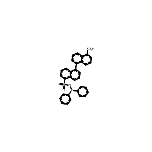 O=S(=O)(O)c1cccc2c(-c3cccc4c(S(=O)(=O)OP(c5ccccc5)c5ccccc5)cccc34)cccc12